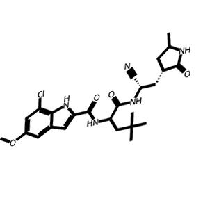 COc1cc(Cl)c2[nH]c(C(=O)NC(CC(C)(C)C)C(=O)N[C@H](C#N)C[C@@H]3CC(C)NC3=O)cc2c1